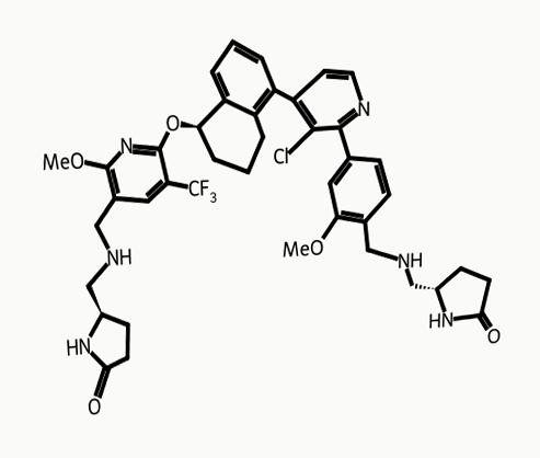 COc1cc(-c2nccc(-c3cccc4c3CCC[C@H]4Oc3nc(OC)c(CNC[C@H]4CCC(=O)N4)cc3C(F)(F)F)c2Cl)ccc1CNC[C@@H]1CCC(=O)N1